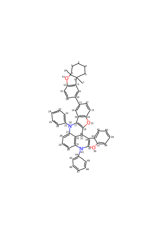 CC12CCCCC1(C)c1cc(-c3ccc4oc5c(c4c3)N(c3ccccc3)c3cccc4c3B5c3c(oc5ccccc35)N4c3ccccc3)ccc1O2